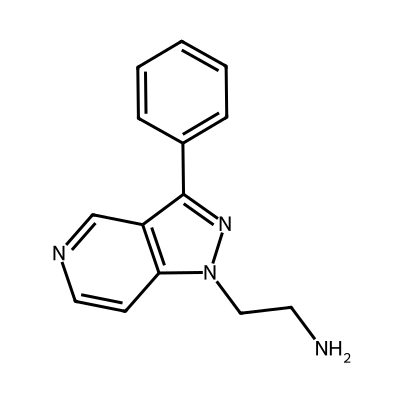 NCCn1nc(-c2ccccc2)c2cnccc21